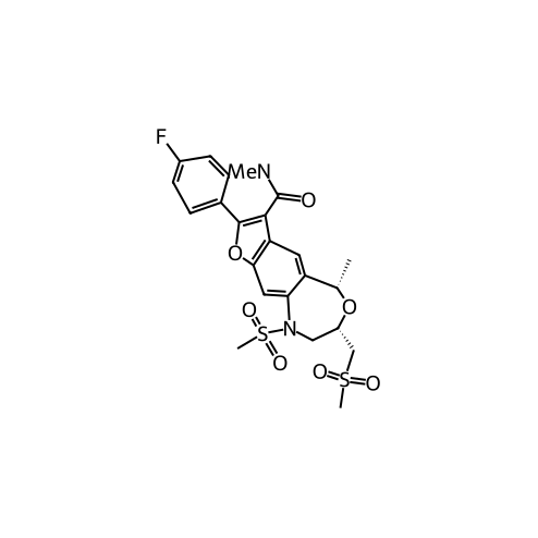 CNC(=O)c1c(-c2ccc(F)cc2)oc2cc3c(cc12)[C@H](C)O[C@H](CS(C)(=O)=O)CN3S(C)(=O)=O